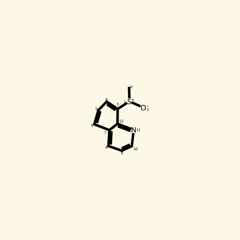 C[S+]([O-])c1cccc2cccnc12